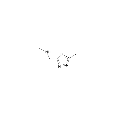 CNCc1nnc(C)o1